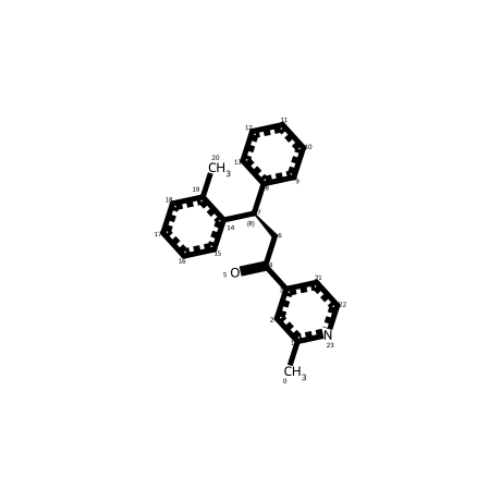 Cc1cc(C(=O)C[C@H](c2ccccc2)c2ccccc2C)ccn1